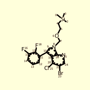 C[Si](C)(C)CCOCn1cc(-c2cccc(F)c2F)c2c(Cl)c(Br)cnc21